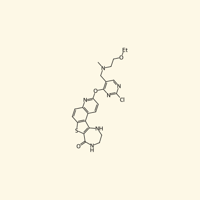 CCOCCN(C)Cc1cnc(Cl)nc1Oc1ccc2c(ccc3sc4c(c32)NCCNC4=O)n1